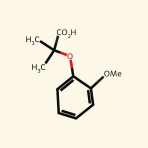 COc1ccccc1OC(C)(C)C(=O)O